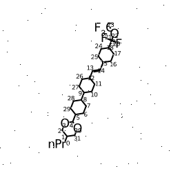 CCCC1COC(C2CCC(C3CCC(/C=C/C4CCC(C(F)(F)OC(F)(F)F)CC4)CC3)CC2)OC1